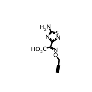 C#CCON=C(C(=O)O)c1nsc(N)n1